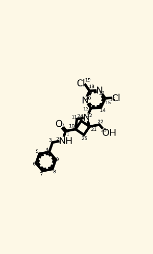 O=C(NCc1ccccc1)C12CN(c3cc(Cl)nc(Cl)n3)C(CO)(C1)C2